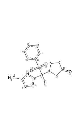 Cc1noc(C(F)(C2CCC(=O)C2)S(=O)(=O)c2ccccc2)n1